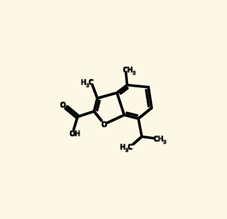 Cc1ccc(C(C)C)c2oc(C(=O)O)c(C)c12